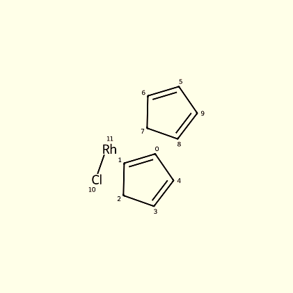 C1=CCC=C1.C1=CCC=C1.[Cl][Rh]